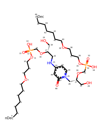 CCCCCCCCCCCCCCCCOCCCOP(=O)(O)CO[C@H](CO)CNc1ccn(C[C@@H](CO)OCP(=O)(O)OCCCOCCCCCCCCCCCCCCCC)c(=O)c1